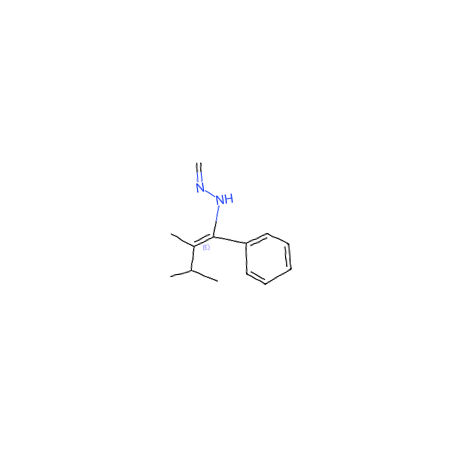 C=NN/C(=C(\C)C(C)C)c1ccccc1